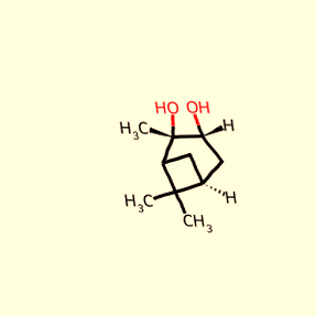 CC1(C)C2C[C@H]1C[C@@H](O)[C@@]2(C)O